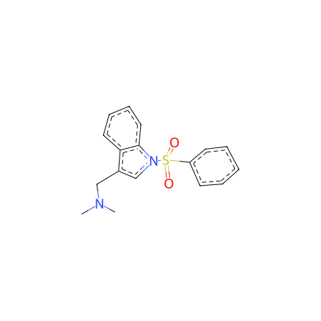 CN(C)Cc1cn(S(=O)(=O)c2ccccc2)c2ccccc12